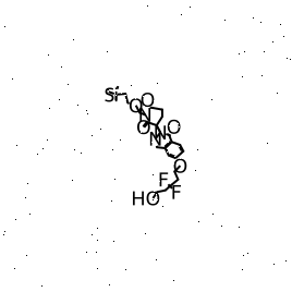 C[Si](C)(C)CCOCN1C(=O)CCC(n2ncc3cc(OCCC(F)(F)CCO)ccc3c2=O)C1=O